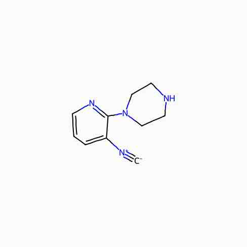 [C-]#[N+]c1cccnc1N1CCNCC1